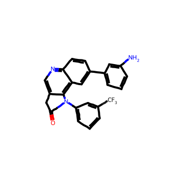 Nc1cccc(-c2ccc3ncc4c(c3c2)N(c2cccc(C(F)(F)F)c2)C(=O)C4)c1